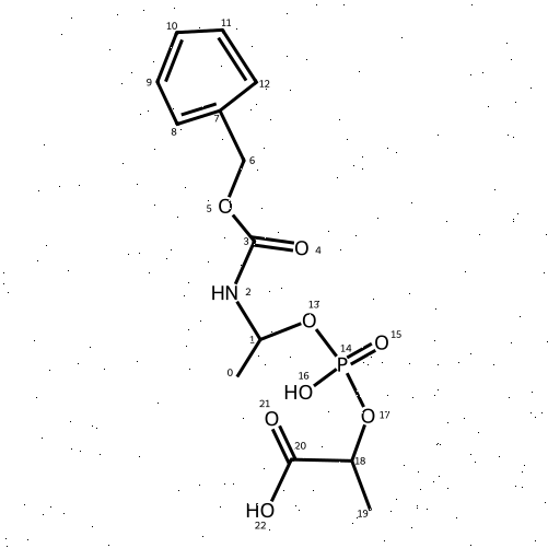 CC(NC(=O)OCc1ccccc1)OP(=O)(O)OC(C)C(=O)O